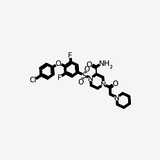 NC(=O)[C@H]1CN(C(=O)CN2CCCCC2)CCN1S(=O)(=O)c1cc(F)c(Oc2ccc(Cl)cc2)c(F)c1